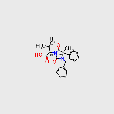 CC(C)[C@H](C(=O)O)N1C(=O)N(Cc2ccccc2)[C@](C)(c2ccccc2)C1=O